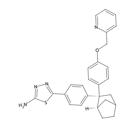 Nc1nnc(-c2ccc([C@]3(c4ccc(OCc5ccccn5)cc4)CC4CC[C@@H]3C4)cc2)s1